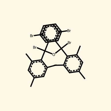 Cc1cc(C)c(C(Br)(OC(Br)(c2ccccc2Br)c2c(C)cc(C)cc2C)c2ccccc2Br)c(C)c1